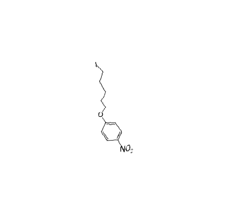 O=[N+]([O-])c1ccc(OCCCCCI)cc1